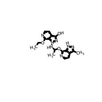 CCOc1nccc2c(O)nn(NC(C)Oc3nccc4c(C)n[nH]c34)c12